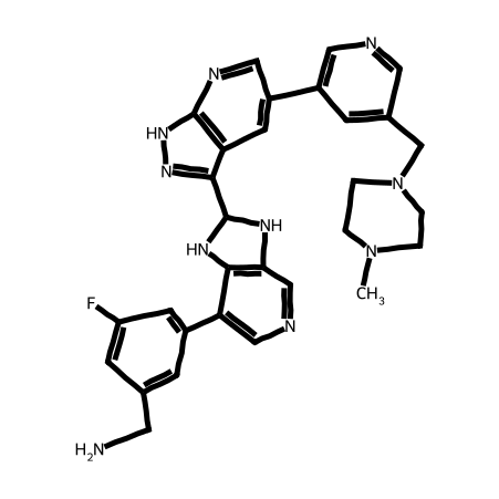 CN1CCN(Cc2cncc(-c3cnc4[nH]nc(C5Nc6cncc(-c7cc(F)cc(CN)c7)c6N5)c4c3)c2)CC1